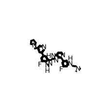 CN(C)CCNc1cc(F)cc(-c2nccc3[nH]c(-c4n[nH]c5c(F)cc(-c6cncc(CN7CCCC7)c6)cc45)nc23)c1